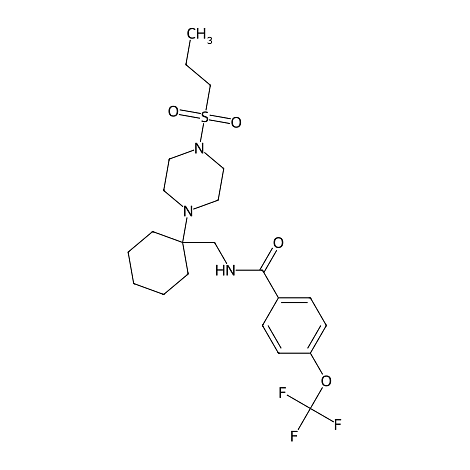 CCCS(=O)(=O)N1CCN(C2(CNC(=O)c3ccc(OC(F)(F)F)cc3)CCCCC2)CC1